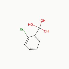 OC(O)(O)c1ccccc1Br